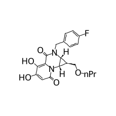 CCCOC[C@@H]1[C@@H]2[C@H]1n1c(c(O)c(O)cc1=O)C(=O)N2Cc1ccc(F)cc1